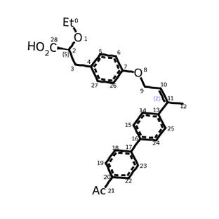 CCO[C@@H](Cc1ccc(OC/C=C(/C)c2ccc(-c3ccc(C(C)=O)cc3)cc2)cc1)C(=O)O